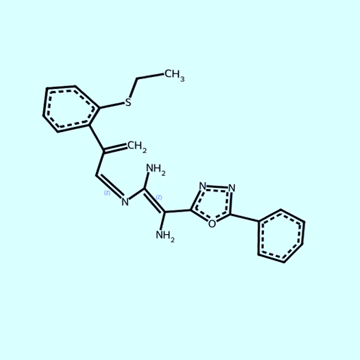 C=C(/C=N\C(N)=C(/N)c1nnc(-c2ccccc2)o1)c1ccccc1SCC